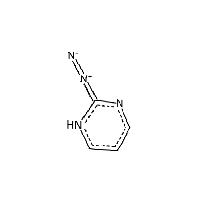 [N-]=[N+]=c1nccc[nH]1